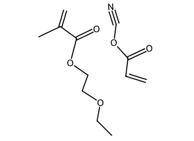 C=C(C)C(=O)OCCOCC.C=CC(=O)OC#N